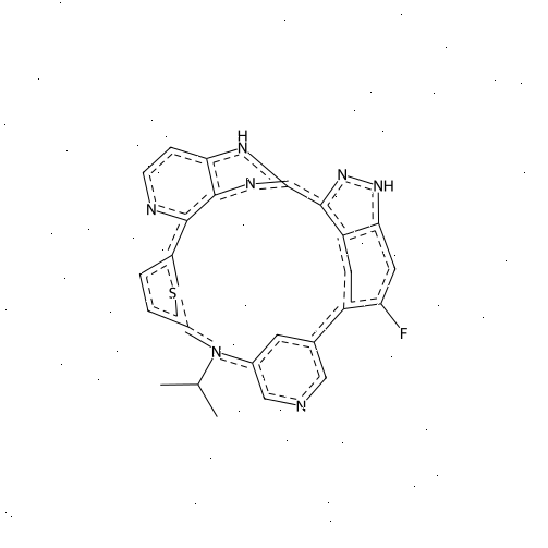 CC(C)n1c2cncc(c2)c2cc3c(cc2F)[nH]nc3c2nc3c(ccnc3c3ccc1s3)[nH]2